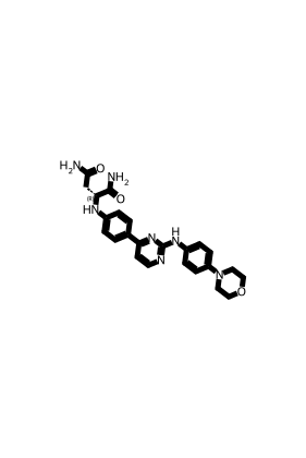 NC(=O)C[C@@H](Nc1ccc(-c2ccnc(Nc3ccc(N4CCOCC4)cc3)n2)cc1)C(N)=O